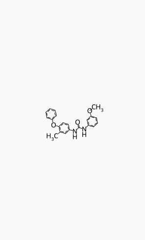 COc1cccc(NC(=O)Nc2ccc(Oc3ccccc3)c(C)c2)c1